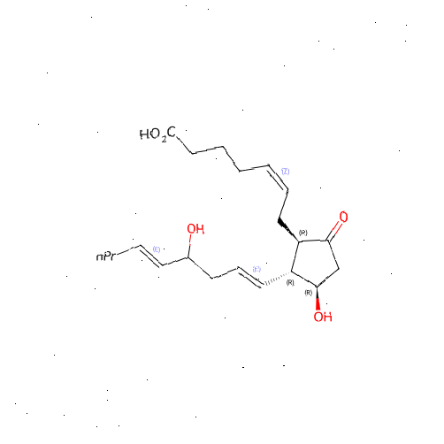 CCC/C=C/C(O)C/C=C/[C@H]1[C@H](O)CC(=O)[C@@H]1C/C=C\CCCC(=O)O